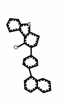 Clc1c(-c2ccc(-c3cccc4ccccc34)cc2)ccc2sc3ccccc3c12